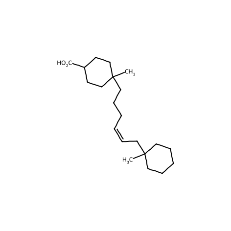 CC1(C/C=C\CCCC2(C)CCC(C(=O)O)CC2)CCCCC1